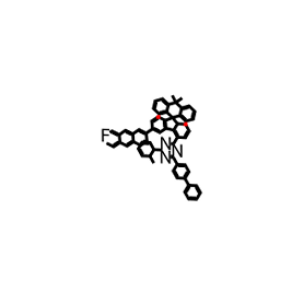 C/C=c1/cc2ccc(-c3ccc4c(c3)C3=C(c5nc(-c6ccc(-c7ccccc7)cc6)nc(C6C=CC=CC6C)n5)C=CCC3C43c4ccccc4C(C)(C)c4ccccc43)cc2c/c1=C/F